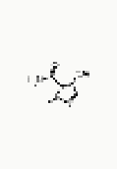 Cn1ncc(C(C)(C)C)c1C(N)=O